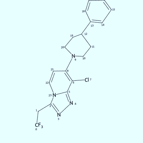 FC(F)(F)Cc1nnc2c(Cl)c(N3CCC(c4ccccc4)CC3)ccn12